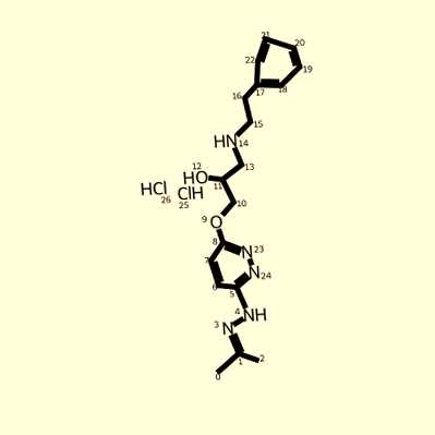 CC(C)=NNc1ccc(OCC(O)CNCCc2ccccc2)nn1.Cl.Cl